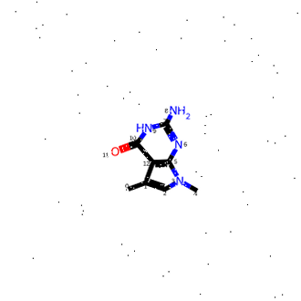 Cc1cn(C)c2nc(N)[nH]c(=O)c12